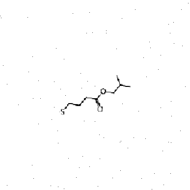 CC(C)COC(=O)CCC[S]